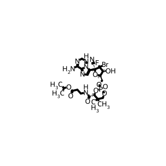 CC(C)OC(=O)CCNC(=O)[C@@H]1OP(=O)(OC[C@H]2O[C@@](C#N)(c3cnc4n3NCN=C4N)C(F)(Br)[C@H]2O)OCC1(C)C